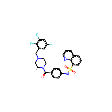 C[C@@H]1CN(Cc2cc(F)cc(F)c2F)CCN1C(=O)c1ccc(NS(=O)(=O)c2cccc3cccnc23)cc1